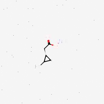 CCC1C[C@@H]1CC(=O)ON